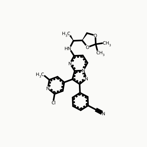 Cc1cc(-c2c(-c3cccc(C#N)c3)nn3ccc(N[C@@H](C)[C@H]4COC(C)(C)O4)nc23)cc(Cl)n1